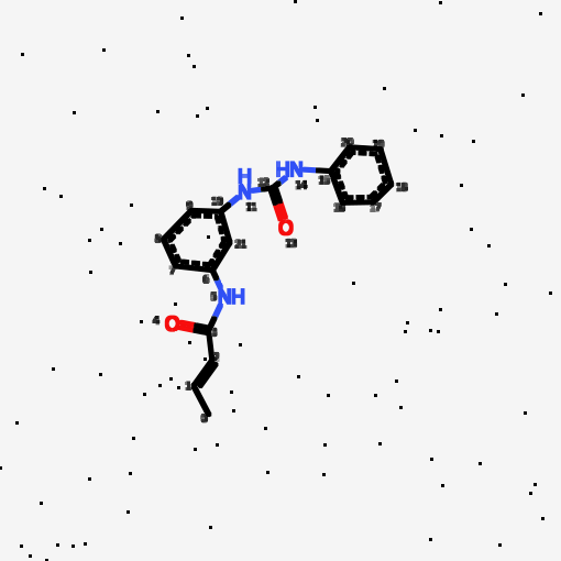 C/C=C/C(=O)Nc1cccc(NC(=O)Nc2ccccc2)c1